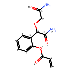 C=CC(=O)Oc1ccccc1C(OCC(N)=O)C(N)=O